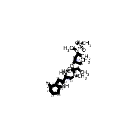 C=C(/C=C(\CC)OC(C)(CC)N(C)/C=C(\NC)c1cc2c(F)cccc2[nH]1)N(C)S(C)(=O)=O